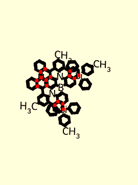 Cc1ccc([Si](c2ccccc2)(c2ccccc2)c2ccc3c(c2)N(c2c(-c4ccccc4)cc(C)cc2-c2ccccc2)c2cc(N(c4ccccc4)c4ccccc4)cc4c2B3c2ccc([Si](c3ccccc3)(c3ccccc3)c3ccc(C)cc3)cc2N4c2c(-c3ccccc3)cc(C)cc2-c2ccccc2)cc1